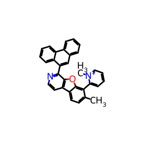 Cc1ccc2c(oc3c(-c4cc5ccccc5c5ccccc45)nccc32)c1-c1cccc[n+]1C